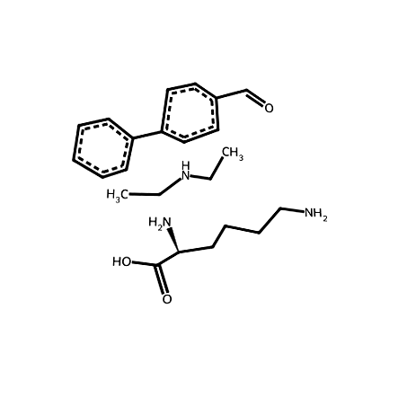 CCNCC.NCCCC[C@H](N)C(=O)O.O=Cc1ccc(-c2ccccc2)cc1